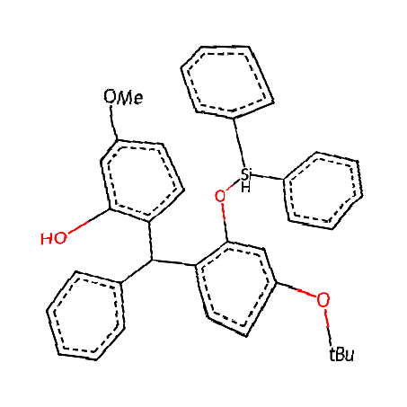 COc1ccc(C(c2ccccc2)c2ccc(OC(C)(C)C)cc2O[SiH](c2ccccc2)c2ccccc2)c(O)c1